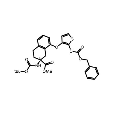 COC(=O)[C@]1(NC(=O)OC(C)(C)C)CCc2cccc(Oc3ccsc3OC(=O)OCc3ccccc3)c2C1